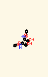 O=C(Nc1ccc(Sc2ccc(NC(=O)OCc3ccccc3)cc2-c2cccc(O)c2)c(-c2cccc(O)c2)c1)OCc1ccccc1